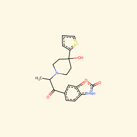 CC(C(=O)c1ccc2[nH]c(=O)oc2c1)N1CCC(O)(c2cccs2)CC1